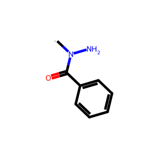 [CH2]N(N)C(=O)c1ccccc1